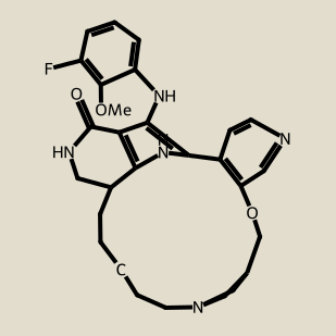 COc1c(F)cccc1Nc1c2[nH]c3c1C(=O)NCC3CCCCCN1CC(COc3cnccc3-2)C1